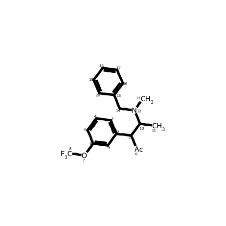 CC(=O)C(c1cccc(OC(F)(F)F)c1)C(C)N(C)Cc1ccccc1